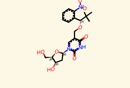 CC(C)(C)[C@H](OCc1cn([C@H]2C[C@@H](O)[C@@H](CO)O2)c(=O)[nH]c1=O)c1ccccc1[N+](=O)[O-]